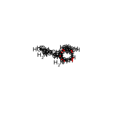 C=C1C[C@@H]2CC[C@]34O[C@H]5[C@H]6O[C@H](CC[C@@H]6OC6[C@H]5OC(O)(C3O)[C@H]6O4)CC(=O)O[C@@H]3CC4OC5C[C@H](C[C@@H]6O[C@@]7(CC[C@@H]6O)C[C@H](N)[C@@H]6O[C@H](CC(=O)O)[C@H](O)C[C@@H]6O7)O[C@@H]5C[C@@H]4O[C@H]3C[C@H]3O[C@@H](CC[C@@H]1O2)C[C@@H](N)C3=C